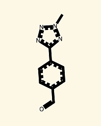 Cn1nnc(-c2ccc(C=O)cc2)n1